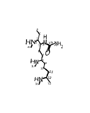 CCC(NC)C(CCC(CCCC(C)NC)NC)NC(N)=O